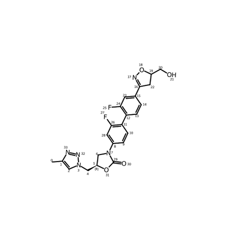 Cc1cn(C[C@H]2CN(c3ccc(-c4ccc(C5=NOC(CO)C5)cc4F)c(F)c3)C(=O)O2)nn1